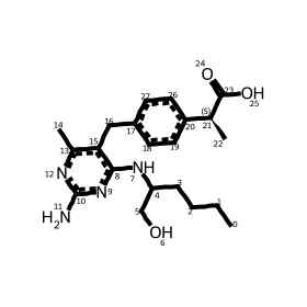 CCCCC(CO)Nc1nc(N)nc(C)c1Cc1ccc([C@H](C)C(=O)O)cc1